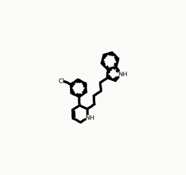 Clc1cccc(C2C=CCNC2CCCCc2c[nH]c3ccccc23)c1